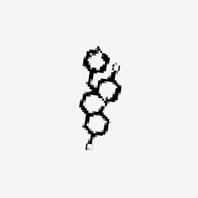 O=C1C=CN2C3CCC(Cl)CC3CCC2(Cc2ccncc2)C1